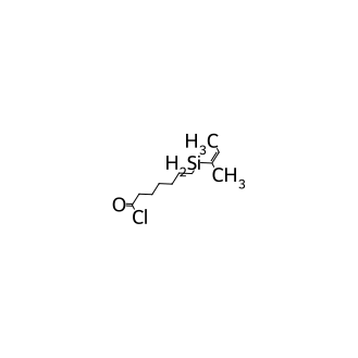 CC=C(C)[SiH2]CCCCCCC(=O)Cl